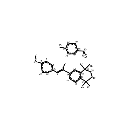 CSc1ccc(/C=C(\C)c2ccc3c(c2)C(C)(C)CCC3(C)C)cc1.Cc1ccc(C=S)cc1